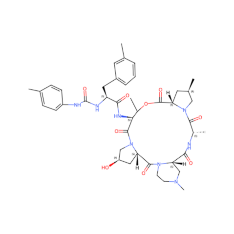 Cc1ccc(NC(=O)N[C@@H](Cc2cccc(C)c2)C(=O)N[C@@H]2C(=O)N3C[C@H](O)C[C@H]3C(=O)N3CCN(C)C[C@H]3C(=O)N[C@@H](C)C(=O)N3C[C@H](C)C[C@H]3C(=O)OC2C)cc1